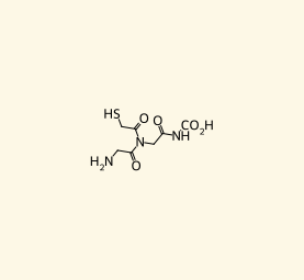 NCC(=O)N(CC(=O)NC(=O)O)C(=O)CS